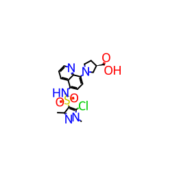 Cc1nn(C)c(Cl)c1S(=O)(=O)Nc1ccc(N2CC[C@@H](C(=O)O)C2)c2ncccc12